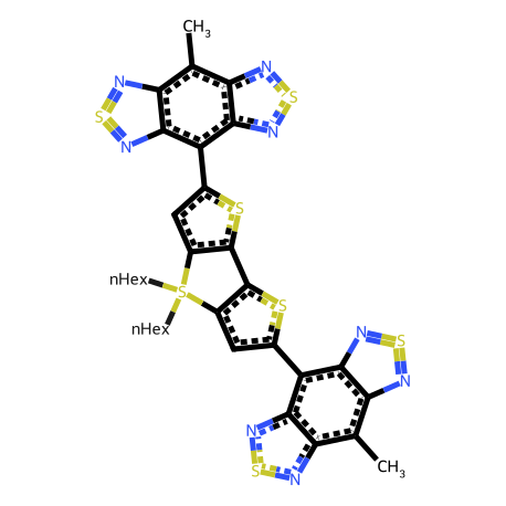 CCCCCCS1(CCCCCC)c2cc(-c3c4c(c(C)c5nsnc35)N=S=N4)sc2-c2sc(-c3c4c(c(C)c5nsnc35)N=S=N4)cc21